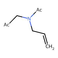 C=CCN(CC(C)=O)C(C)=O